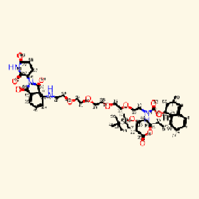 C[C@H]1C=C2C=C[C@H](C)[C@H](CC[C@@H]3C[C@@H](O[Si](C)(C)C(C)(C)C)CC(=O)O3)[C@H]2[C@@H](OC(=O)NCCOCCOCCOCCOCCNc2cccc3c2C(=O)N(C2CCC(=O)NC2=O)C3=O)C1